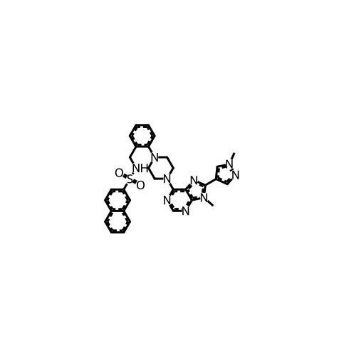 Cn1cc(-c2nc3c(N4CCN(c5ccccc5CNS(=O)(=O)c5ccc6ccccc6c5)CC4)ncnc3n2C)cn1